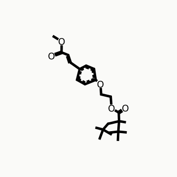 COC(=O)/C=C/c1ccc(OCCOC(=O)C(C)(CC(C)(C)C)C(C)(C)C)cc1